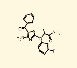 CC(C(N)=O)N(c1cccc(F)c1)c1nc(N)c(C(=O)c2ccccc2)s1